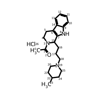 CC(=O)N1CCc2c([nH]c3ccccc23)C1CCCN1CCC(C)CC1.Cl